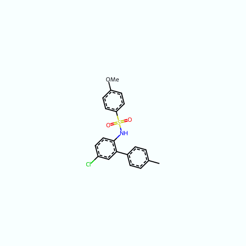 COc1ccc(S(=O)(=O)Nc2ccc(Cl)cc2-c2ccc(C)cc2)cc1